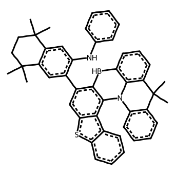 CC1(C)CCC(C)(C)c2cc(-c3cc4sc5ccccc5c4c4c3Bc3cccc5c3N4c3ccccc3C5(C)C)c(Nc3ccccc3)cc21